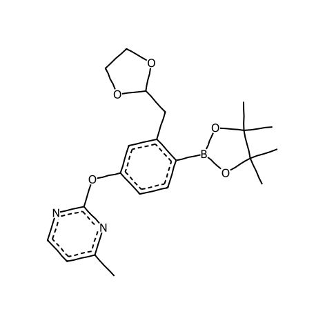 Cc1ccnc(Oc2ccc(B3OC(C)(C)C(C)(C)O3)c(CC3OCCO3)c2)n1